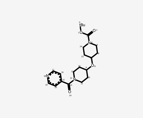 CC(C)(C)OC(=O)N1CCC(OC2CCN(C(=O)c3ccncc3)CC2)CC1